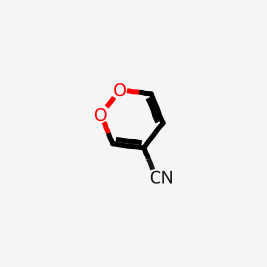 N#CC1=COOC=C1